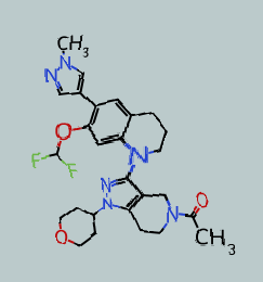 CC(=O)N1CCc2c(c(N3CCCc4cc(-c5cnn(C)c5)c(OC(F)F)cc43)nn2C2CCOCC2)C1